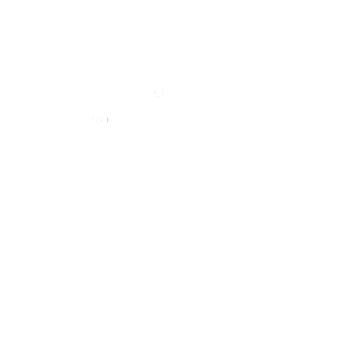 Cc1cc(C(=O)CC2CC2)ccc1C(C)(C)C